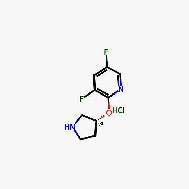 Cl.Fc1cnc(O[C@@H]2CCNC2)c(F)c1